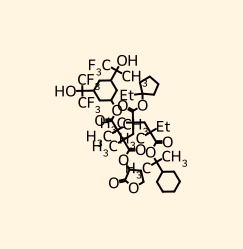 CCC1(OC(=O)C(C)(CC(C)(CC)C(=O)OC(C)(C)C2CCCCC2)CC(C)(C(=O)OC2CCOC2=O)C(C)(C)C(=O)OC2CC(C(C)(O)C(F)(F)F)CC(C(O)(C(F)(F)F)C(F)(F)F)C2)CCCC1